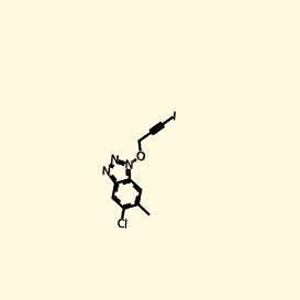 Cc1cc2c(cc1Cl)nnn2OCC#CI